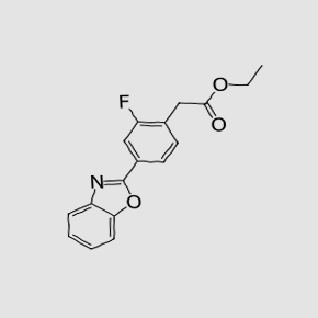 CCOC(=O)Cc1ccc(-c2nc3ccccc3o2)cc1F